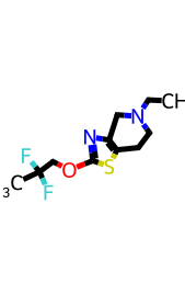 CCN1CCc2sc(OCC(C)(F)F)nc2C1